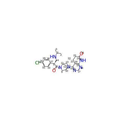 CC(C)NC[C@@H](C(=O)N1CC2CC1CN2c1ncnc2c1[C@H](C)CC(=O)N2)c1ccc(Cl)cc1